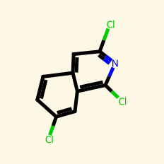 Clc1ccc2cc(Cl)nc(Cl)c2c1